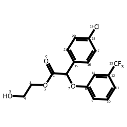 O=C(OCCO)C(Oc1cccc(C(F)(F)F)c1)c1ccc(Cl)cc1